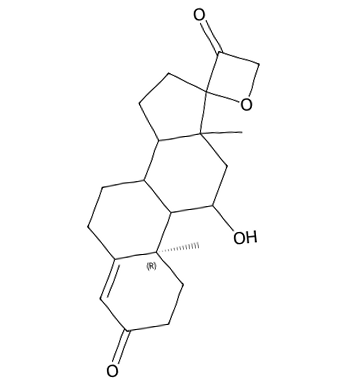 CC12CC(O)C3C(CCC4=CC(=O)CC[C@@]43C)C1CCC21OCC1=O